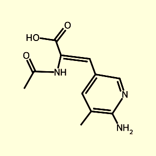 CC(=O)N/C(=C\c1cnc(N)c(C)c1)C(=O)O